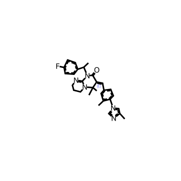 Cc1cn(-c2ccc(/C=C3/C(=O)N(C(C)c4ccc(F)cc4)C4=NCCCN4C3(C)C)cc2C)cn1